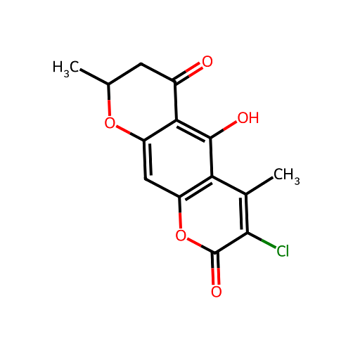 Cc1c(Cl)c(=O)oc2cc3c(c(O)c12)C(=O)CC(C)O3